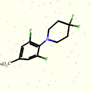 O=C(O)c1cc(F)c(N2CCC(F)(F)CC2)c(F)c1